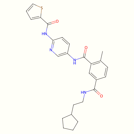 Cc1ccc(C(=O)NCCC2CCCC2)cc1C(=O)Nc1ccc(NC(=O)c2cccs2)nc1